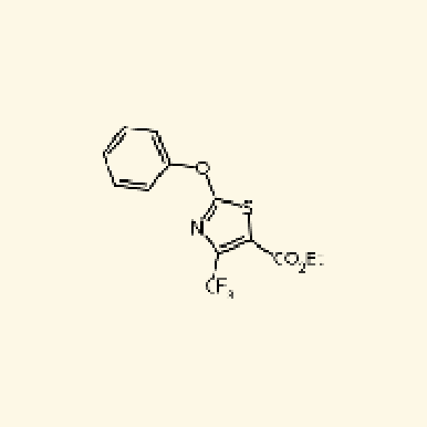 CCOC(=O)c1sc(Oc2ccccc2)nc1C(F)(F)F